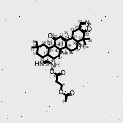 CC(=O)OCCC(=O)ONC(=N)[C@]12CCC(C)(C)C[C@H]1[C@H]1C(=O)C=C3[C@@]4(C)Cc5cnoc5C(C)(C)[C@@H]4CC[C@@]3(C)[C@]1(C)CC2